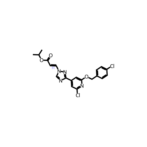 CC(C)OC(=O)/C=C/n1cnc(-c2cc(Cl)nc(OCc3ccc(Cl)cc3)c2)n1